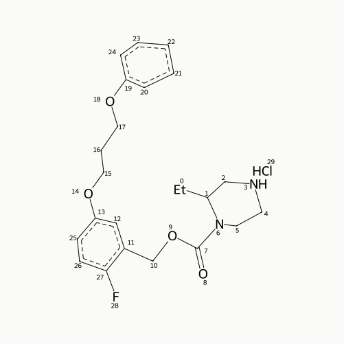 CCC1CNCCN1C(=O)OCc1cc(OCCCOc2ccccc2)ccc1F.Cl